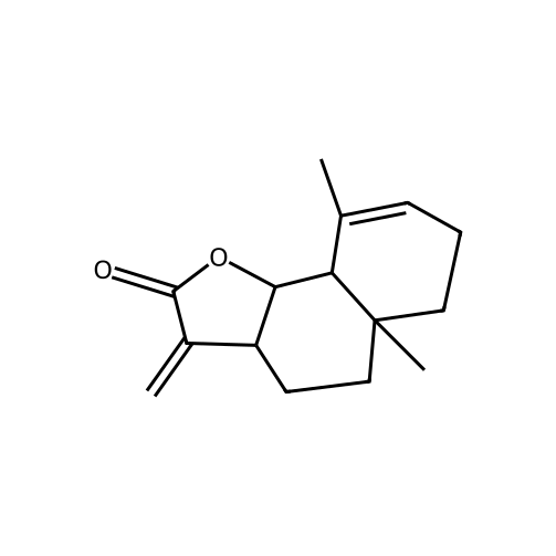 C=C1C(=O)OC2C1CCC1(C)CCC=C(C)C21